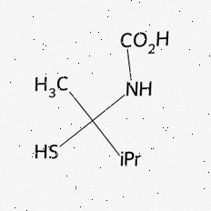 CC(C)C(C)(S)NC(=O)O